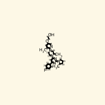 Cc1cc(OCCO)cnc1N1CCN(c2cc(-c3ccc(F)cc3)nc(N3CCCC3C)n2)C(C)C1